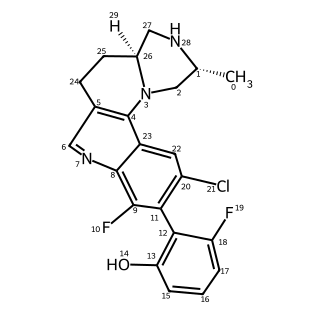 C[C@@H]1CN2c3c(cnc4c(F)c(-c5c(O)cccc5F)c(Cl)cc34)CC[C@H]2CN1